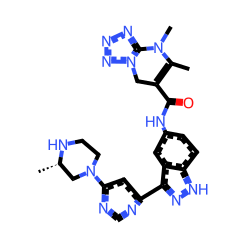 CC1=C(C(=O)Nc2ccc3[nH]nc(-c4cc(N5CCN[C@@H](C)C5)ncn4)c3c2)Cn2nnnc2N1C